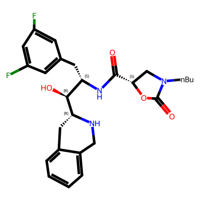 CCCCN1C[C@@H](C(=O)N[C@@H](Cc2cc(F)cc(F)c2)[C@H](O)[C@H]2Cc3ccccc3CN2)OC1=O